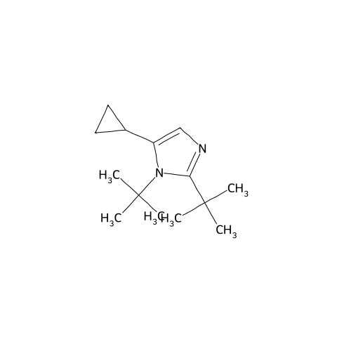 CC(C)(C)c1ncc(C2CC2)n1C(C)(C)C